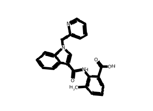 Cc1cccc(C(=O)O)c1NC(=O)c1cn(Cc2ccccn2)c2ccccc12